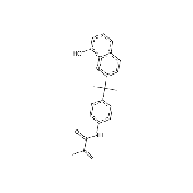 C=C(C)C(=O)Nc1ccc(C(C)(C)c2ccc3cccc(O)c3n2)cc1